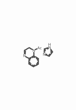 CC(=O)N1CC=Nc2ccccc21.c1c[nH]cn1